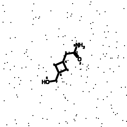 NC(=O)CC1CC(CO)C1